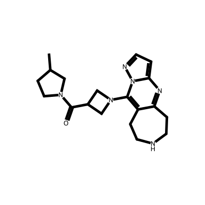 CC1CCN(C(=O)C2CN(c3c4c(nc5ccnn35)CCNCC4)C2)C1